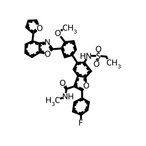 CCS(=O)(=O)Nc1cc2oc(-c3ccc(F)cc3)c(C(=O)NC)c2cc1-c1ccc(OC)c(-c2nc3c(-c4ccco4)cccc3o2)c1